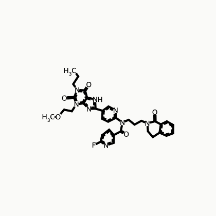 CCCn1c(=O)c2[nH]c(-c3ccc(N(CCCN4CCc5ccccc5C4=O)C(=O)c4ccc(F)nc4)nc3)nc2n(CCOC)c1=O